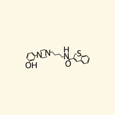 O=C(NCCCCN1CCN(c2cccc(O)c2)CC1)C1=Cc2ccccc2SC1